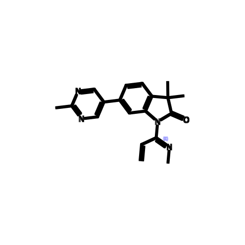 C=C/C(=N\C)N1C(=O)C(C)(C)c2ccc(-c3cnc(C)nc3)cc21